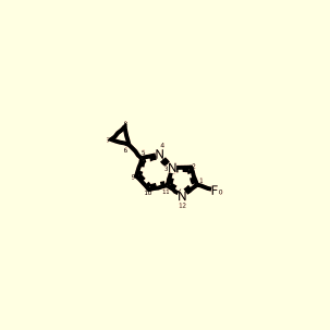 Fc1cn2nc(C3CC3)ccc2n1